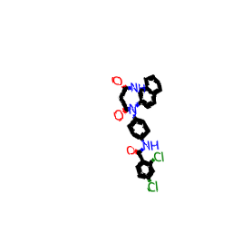 O=C1CC(=O)N(c2ccc(NC(=O)c3ccc(Cl)cc3Cl)cc2)c2ccc3ccccc3c2N1